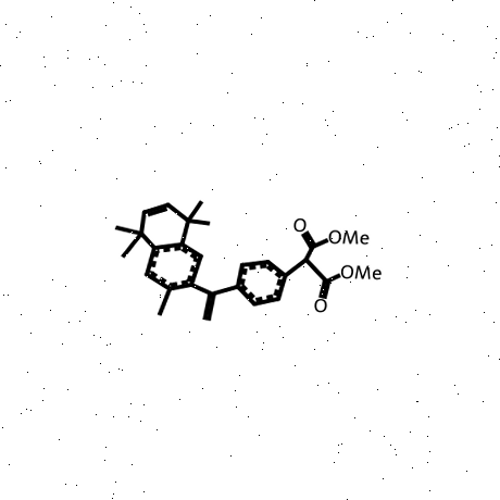 C=C(c1ccc(C(C(=O)OC)C(=O)OC)cc1)c1cc2c(cc1C)C(C)(C)C=CC2(C)C